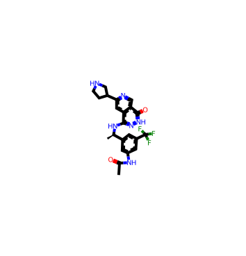 CC(=O)Nc1cc([C@@H](C)Nc2n[nH]c(=O)c3cnc(C4CCNC4)cc23)cc(C(F)(F)F)c1